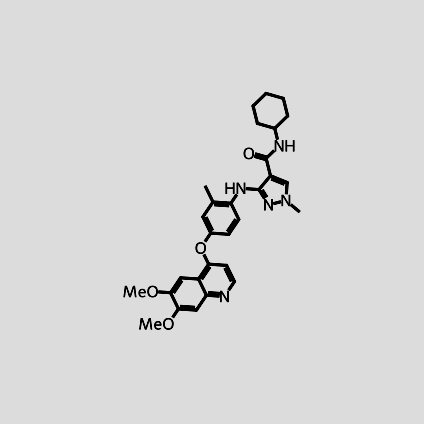 COc1cc2nccc(Oc3ccc(Nc4nn(C)cc4C(=O)NC4CCCCC4)c(C)c3)c2cc1OC